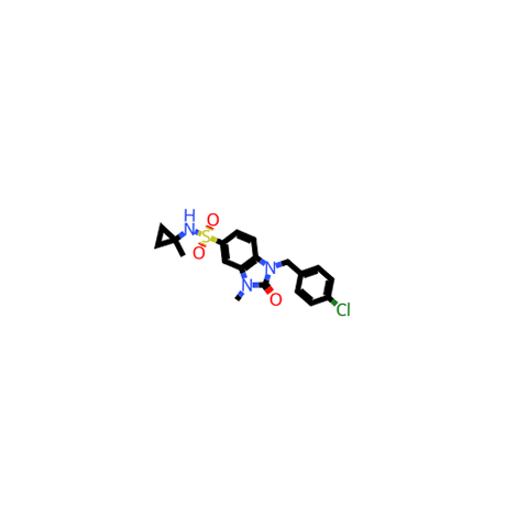 Cn1c(=O)n(Cc2ccc(Cl)cc2)c2ccc(S(=O)(=O)NC3(C)CC3)cc21